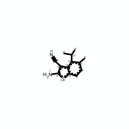 Cc1ccc2sc(N)c(C#N)c2c1C(C)C